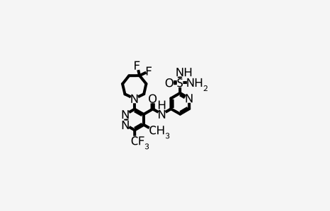 Cc1c(C(F)(F)F)nnc(N2CCCC(F)(F)CC2)c1C(=O)Nc1ccnc(S(=N)(N)=O)c1